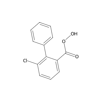 O=C(OO)c1cccc(Cl)c1-c1ccccc1